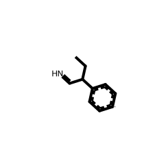 CCC(C=N)c1cc[c]cc1